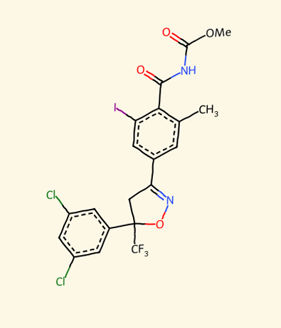 COC(=O)NC(=O)c1c(C)cc(C2=NOC(c3cc(Cl)cc(Cl)c3)(C(F)(F)F)C2)cc1I